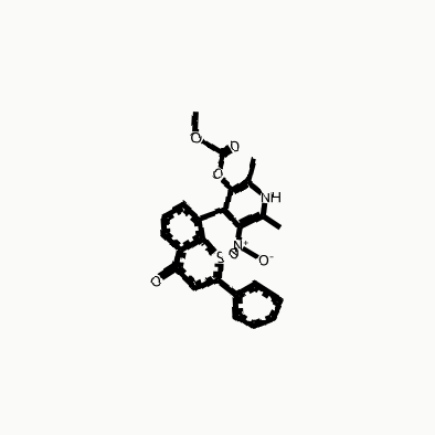 COC(=O)OC1=C(C)NC(C)=C([N+](=O)[O-])C1c1cccc2c(=O)cc(-c3ccccc3)sc12